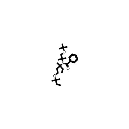 CCC(C)(C)OCCC(C)(CC)N(C(=O)c1ccccc1)C(C)(C)COC(C)(C)C